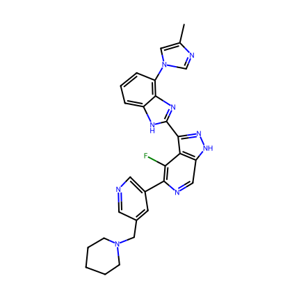 Cc1cn(-c2cccc3[nH]c(-c4n[nH]c5cnc(-c6cncc(CN7CCCCC7)c6)c(F)c45)nc23)cn1